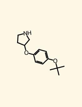 CC(C)(C)Oc1ccc(OC2CCNC2)cc1